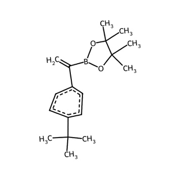 C=C(B1OC(C)(C)C(C)(C)O1)c1ccc(C(C)(C)C)cc1